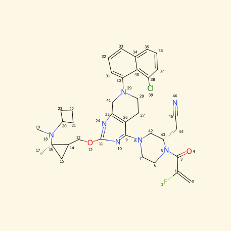 C=C(F)C(=O)N1CCN(c2nc(OCC3C[C@@]3(C)N(C)C3CCC3)nc3c2CCN(c2cccc4cccc(Cl)c24)C3)C[C@@H]1CC#N